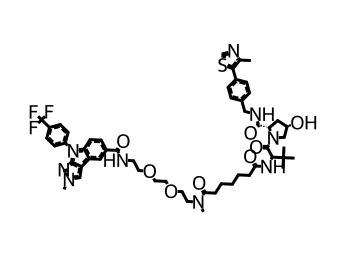 Cc1ncsc1-c1ccc(CNC(=O)[C@@H]2C[C@@H](O)CN2C(=O)C(NC(=O)CCCCCC(=O)N(C)CCOCCOCCNC(=O)c2ccc3c(c2)c2cn(C)nc2n3-c2ccc(C(F)(F)F)cc2)C(C)(C)C)cc1